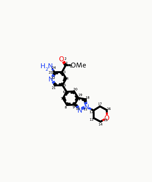 COC(=O)c1cc(-c2ccc3nn(C4CCOCC4)cc3c2)cnc1N